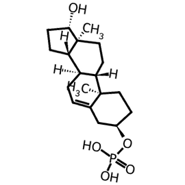 C[C@]12CC[C@H]3[C@@H](CC=C4C[C@H](OP(=O)(O)O)CC[C@@]43C)[C@@H]1CC[C@@H]2O